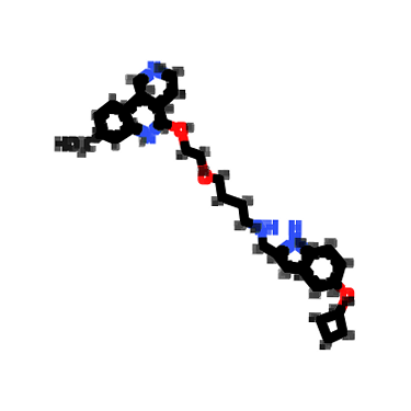 O=C(O)c1ccc2c(c1)nc(OCCOCCCCNCc1cc3cc(OC4CCC4)ccc3[nH]1)c1ccncc12